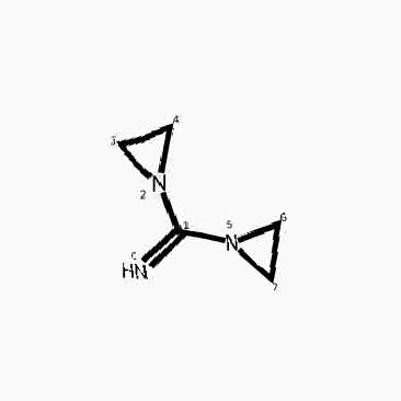 N=C(N1CC1)N1CC1